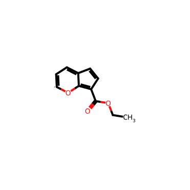 CCOC(=O)c1ccc2cc[c]oc1-2